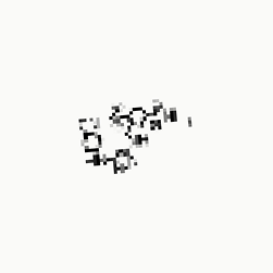 CS(=O)(=O)c1ccc(S(N)(=O)=O)cc1CNc1cc(Nc2ccc(C#N)cc2)ncn1